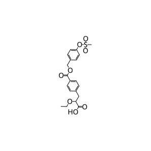 CCOC(Cc1ccc(C(=O)OCc2ccc(OS(C)(=O)=O)cc2)cc1)C(=O)O